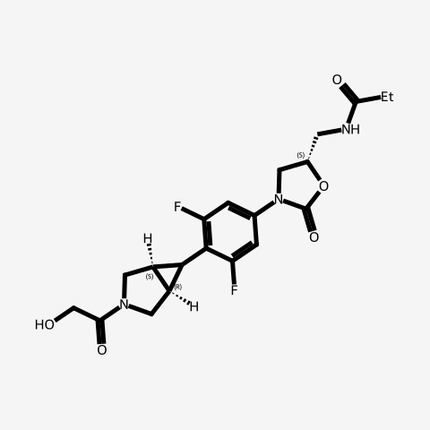 CCC(=O)NC[C@H]1CN(c2cc(F)c(C3[C@H]4CN(C(=O)CO)C[C@@H]34)c(F)c2)C(=O)O1